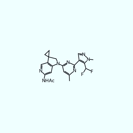 CC(=O)Nc1cc2c(cn1)C1(CC1)CN2c1cc(C)nc(-c2cnn(C)c2C(F)F)n1